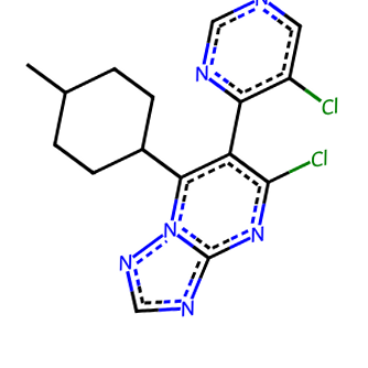 CC1CCC(c2c(-c3ncncc3Cl)c(Cl)nc3ncnn23)CC1